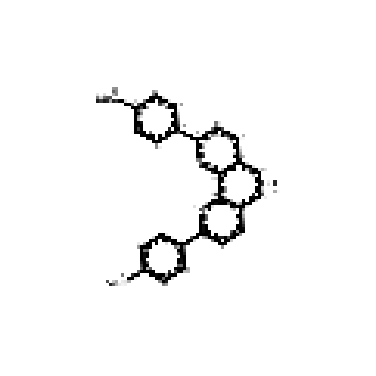 COc1ccc(-c2ccc3ccc4ccc(-c5ccc(OC)cc5)nc4c3n2)cc1.Cl